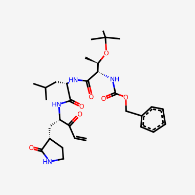 C=CC(=O)[C@H](C[C@@H]1CCNC1=O)NC(=O)[C@H](CC(C)C)NC(=O)[C@@H](NC(=O)OCc1ccccc1)[C@@H](C)OC(C)(C)C